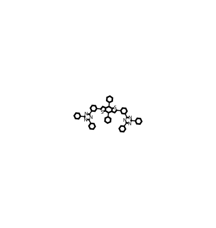 c1ccc(-c2nc(-c3ccccc3)nc(-c3cccc(-c4cc5c(-c6ccccc6)c6sc(-c7cccc(-c8nc(-c9ccccc9)nc(-c9ccccc9)n8)c7)cc6c(-c6ccccc6)c5s4)c3)n2)cc1